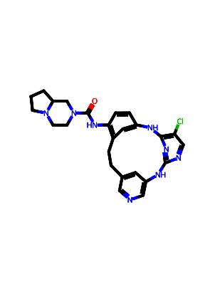 O=C(Nc1ccc2cc1CCc1cncc(c1)Nc1ncc(Cl)c(n1)N2)N1CCN2CCCC2C1